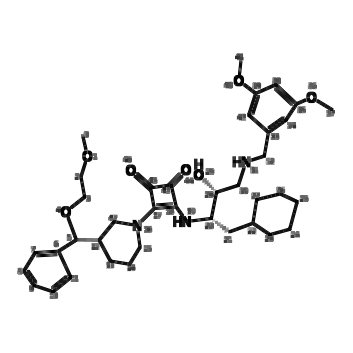 COCCOC(c1ccccc1)C1CCCN(c2c(N[C@@H](CC3CCCCC3)[C@H](O)CNCc3cc(OC)cc(OC)c3)c(=O)c2=O)C1